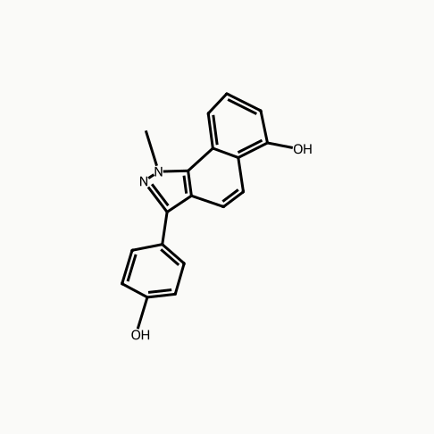 Cn1nc(-c2ccc(O)cc2)c2ccc3c(O)cccc3c21